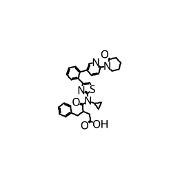 O=C(O)CC(Cc1ccccc1)C(=O)N(c1nc(-c2ccccc2-c2ccc(N3CCCCC3=O)nc2)cs1)C1CC1